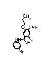 CCCOc1cc2c(Nc3cccc(Br)c3)ncnc2cc1OC